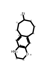 CCC1CCCc2cc3c(cc2CC1)NCCO3